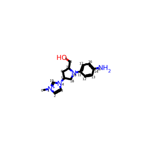 C[n+]1ccn(C2CC(CO)N(c3ccc(N)cc3)C2)c1